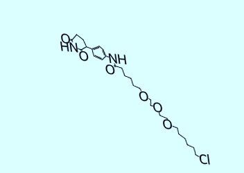 O=C1CCC(c2ccc(NC(=O)CCCCCOCCOCCOCCCCCCCl)cc2)C(=O)N1